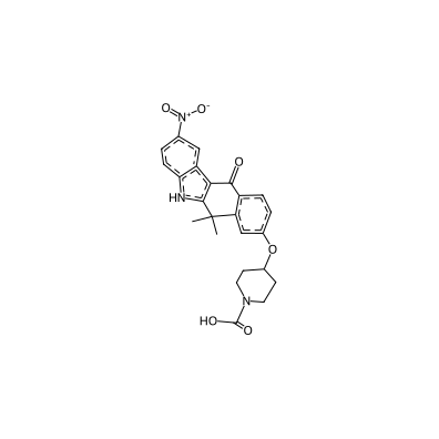 CC1(C)c2cc(OC3CCN(C(=O)O)CC3)ccc2C(=O)c2c1[nH]c1ccc([N+](=O)[O-])cc21